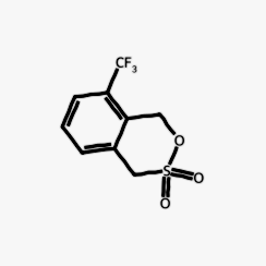 O=S1(=O)Cc2cccc(C(F)(F)F)c2CO1